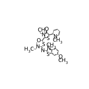 CCN1CO/C(=c2/s/c(=C3/C=CC=CN3C)c(=O)n2CC)S/C1=N\c1sc2cc(OC)ccc2[n+]1C